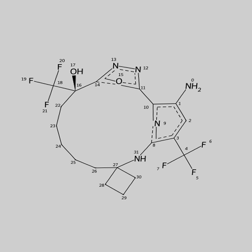 Nc1cc(C(F)(F)F)c2nc1-c1nnc(o1)[C@@](O)(C(F)(F)F)CCCCCC1(CCC1)N2